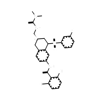 CN(C)C(=O)NC[C@@H]1Cc2ccc(NC(=O)c3c(Cl)cccc3Cl)cc2C(S(=O)(=O)c2cccc(Cl)c2)C1